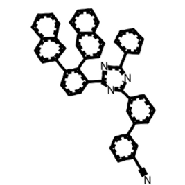 N#Cc1cccc(-c2cccc(-c3nc(-c4ccccc4)nc(-c4cccc(-c5ccc6ccccc6c5)c4-c4ccc5ccccc5c4)n3)c2)c1